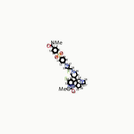 CNC(=O)c1ccc(S(=O)(=O)c2ccc(N3CC(F)(CN4CCC([C@@](CN5CCC5)(c5cccc(F)c5)[C@H]5CCC[C@@H]5NC(=O)OC)CC4)C3)cc2)cc1